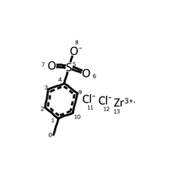 Cc1ccc(S(=O)(=O)[O-])cc1.[Cl-].[Cl-].[Zr+3]